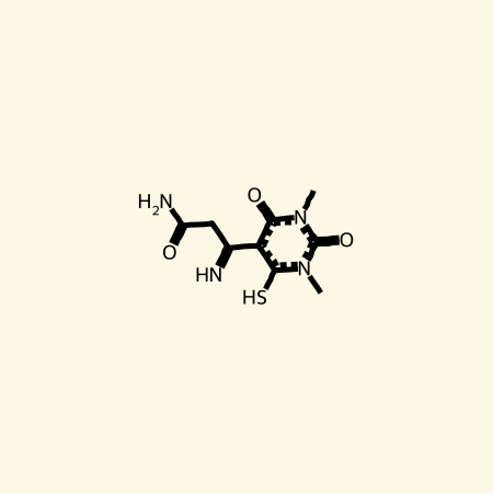 Cn1c(S)c(C(=N)CC(N)=O)c(=O)n(C)c1=O